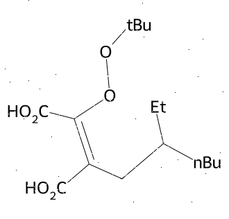 CCCCC(CC)CC(C(=O)O)=C(OOC(C)(C)C)C(=O)O